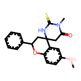 CBc1ccc2c(c1)C1(CC(=O)N(C)C(=S)N1)CC(c1ccccc1)O2